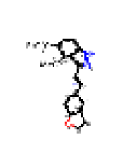 CCOC(=O)c1ccc2[nH]nc(/C=C/c3ccc4c(c3)CCO4)c2c1OC